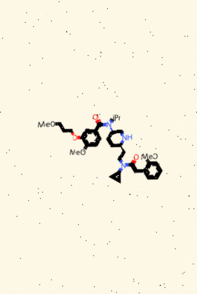 COCCCOc1cc(C(=O)N(C(C)C)[C@@H]2CC[C@H](CCN(C(=O)Cc3ccccc3OC)C3CC3)NC2)ccc1OC